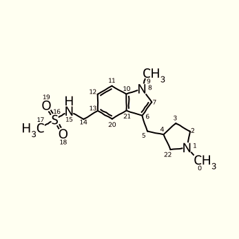 CN1CCC(Cc2cn(C)c3ccc(CNS(C)(=O)=O)cc23)C1